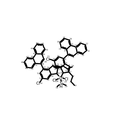 CCCC1=Cc2c(-c3cc4ccccc4c4ccccc34)cc(Cl)cc2[CH]1[Zr]([Cl])([Cl])([CH]1C(CCC)=Cc2c(-c3cc4ccccc4c4ccccc34)cc(Cl)cc21)[SiH](C)C